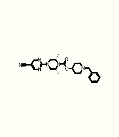 C[C@@H]1CN(c2ncc(C#N)cn2)C[C@H](C)N1C(=O)OC1CCN(Cc2ccccc2)CC1